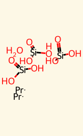 O.O=[Si](O)O.O=[Si](O)O.O=[Si](O)O.[Pr].[Pr]